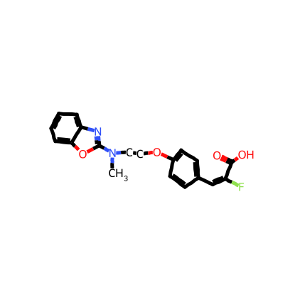 CN(CCOc1ccc(/C=C(/F)C(=O)O)cc1)c1nc2ccccc2o1